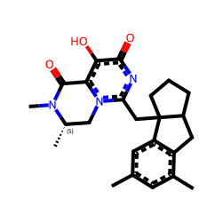 Cc1cc(C)c2c(c1)C1(Cc3nc(=O)c(O)c4n3C[C@H](C)N(C)C4=O)CCCC1C2